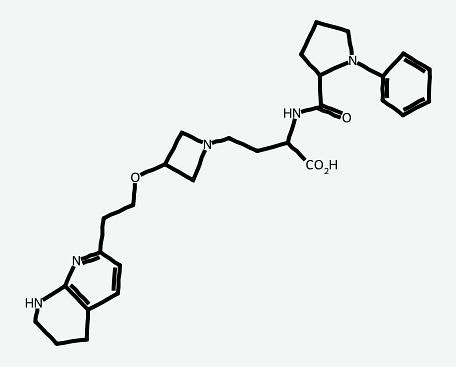 O=C(O)C(CCN1CC(OCCc2ccc3c(n2)NCCC3)C1)NC(=O)C1CCCN1c1ccccc1